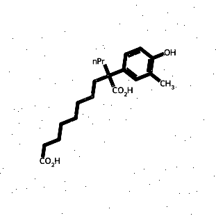 CCCC(CCCCCCCC(=O)O)(C(=O)O)c1ccc(O)c(C)c1